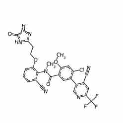 COc1cc(Cl)c(-c2cnc(C(F)(F)F)cc2C#N)cc1C(=O)N(C)c1c(C#N)cccc1OCCc1n[nH]c(=O)[nH]1